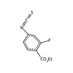 CCOC(=O)c1ccc(N=C=S)cc1F